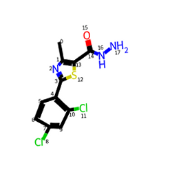 Cc1nc(-c2ccc(Cl)cc2Cl)sc1C(=O)NN